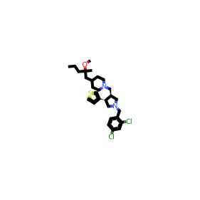 CCCC(C)(CC1CCN(C[C@H]2CN(Cc3ccc(Cl)cc3Cl)C[C@@H]2c2ccsc2)CC1)OC